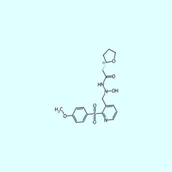 COc1ccc(S(=O)(=O)c2ncccc2CN(O)NC(=O)C[C@@H]2CCCO2)cc1